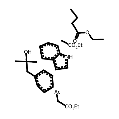 CC(C)(O)Cc1ccccc1.CCCC(=O)OCC.CCOC(=O)CC(C)=O.CCOC(C)=O.c1ccc2[nH]ccc2c1